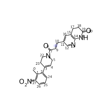 Cc1c(C2=CCN(C(=O)/C=C/c3cnc4c(c3)CCC(=O)N4)CC2)cccc1[N+](=O)[O-]